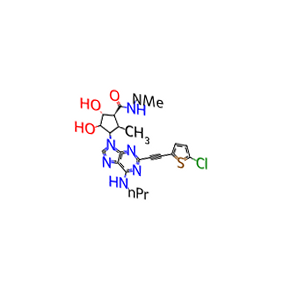 CCCNc1nc(C#Cc2ccc(Cl)s2)nc2c1ncn2[C@H]1C(O)[C@H](O)[C@@H](C(=O)NNC)C1C